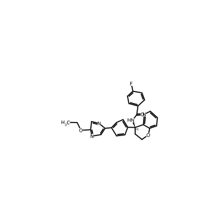 CCOc1cnc(-c2ccc([C@@]3(NC(=O)c4ccc(F)cc4)CCOc4cccnc43)cc2)cn1